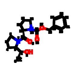 CC[C@@H](O)C1CCCN1C(=O)[C@@H]1CCCN1C(=O)OCc1ccccc1